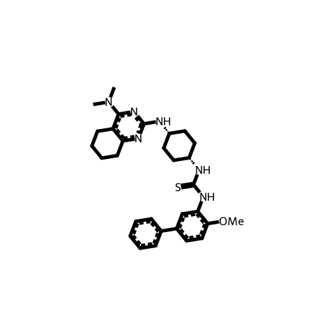 COc1ccc(-c2ccccc2)cc1NC(=S)N[C@H]1CC[C@@H](Nc2nc3c(c(N(C)C)n2)CCCC3)CC1